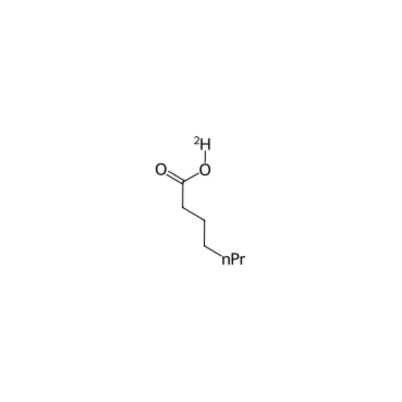 [2H]OC(=O)CCCCCC